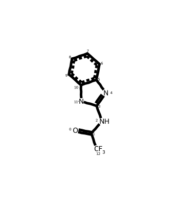 O=C(NC1=Nc2ccccc2[N]1)C(F)(F)F